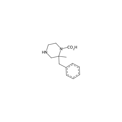 CC1(Cc2ccccc2)CNCCN1C(=O)O